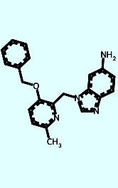 Cc1ccc(OCc2ccccc2)c(Cn2cnc3ccc(N)cc32)n1